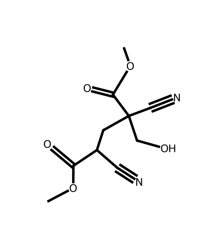 COC(=O)C(C#N)CC(C#N)(CO)C(=O)OC